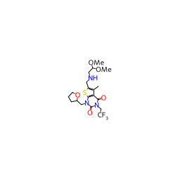 COC(CNCc1sc2c(c1C)c(=O)n(CC(F)(F)F)c(=O)n2CC1CCCO1)OC